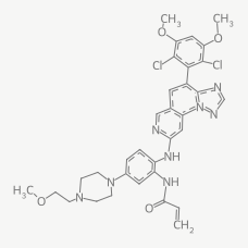 C=CC(=O)Nc1cc(N2CCN(CCOC)CC2)ccc1Nc1cc2c(cn1)cc(-c1c(Cl)c(OC)cc(OC)c1Cl)c1ncnn12